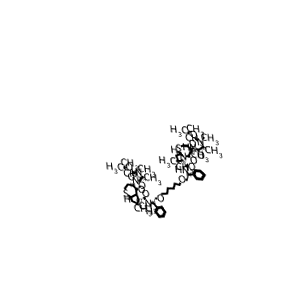 C[C@@H](C(=O)N[C@H]1CCS[C@H]2CC(C)(C)[C@@H](C(=O)N[C@H](COCCCCCCOC[C@@H](NC(=O)[C@H]3N4C(=O)[C@](C)(NC(=O)[C@H](C)N(C)C(=O)OC(C)(C)C)CCS[C@H]4CC3(C)C)c3ccccc3)c3ccccc3)C2C1=O)N(C)C(=O)OC(C)(C)C